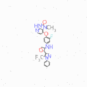 Cn1c(=O)[nH]c2nccc(Oc3ccc(NC4COC4c4cnn(-c5ccccc5)c4C(F)(F)F)cc3F)c21